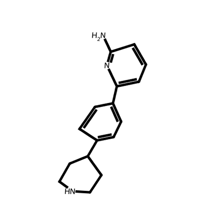 Nc1cccc(-c2ccc(C3CCNCC3)cc2)n1